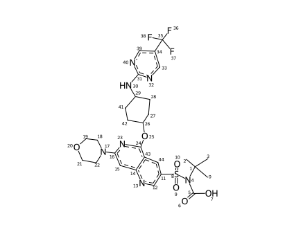 CC(C)(C)N(C(=O)O)S(=O)(=O)c1cnc2cc(N3CCOCC3)nc(OC3CCC(Nc4ncc(C(F)(F)F)cn4)CC3)c2c1